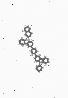 C1=c2c(n(-c3ccc4ccccc4c3)c3ccccc23)=CCC1c1ccc(-c2ccc3c(c2)c2ccccc2n3-c2ccccc2)cc1